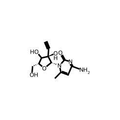 C#C[C@@]1(O)C(O)[C@@H](CO)O[C@H]1n1c(C)cc(N)nc1=O